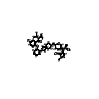 CC(C)N(C(=O)c1cc(F)ccc1Oc1cncnc1N1CC2(CCN(C[C@@H]3CC[C@@H](N(c4cnn(C)c4Cl)[SH](=O)=O)CO3)CC2)C1)C(C)C